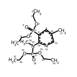 CCOP(=O)(OCC)c1cc(C)cnc1N(C)P(=O)(OCC)OCC